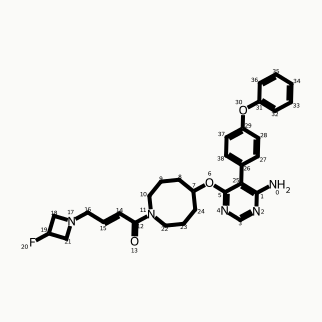 Nc1ncnc(OC2CCCN(C(=O)/C=C/CN3CC(F)C3)CCC2)c1-c1ccc(Oc2ccccc2)cc1